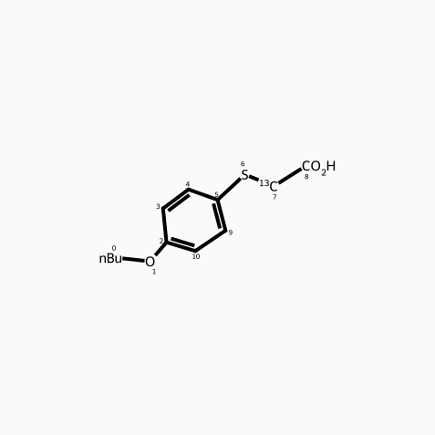 CCCCOc1ccc(S[13CH2][13C](=O)O)cc1